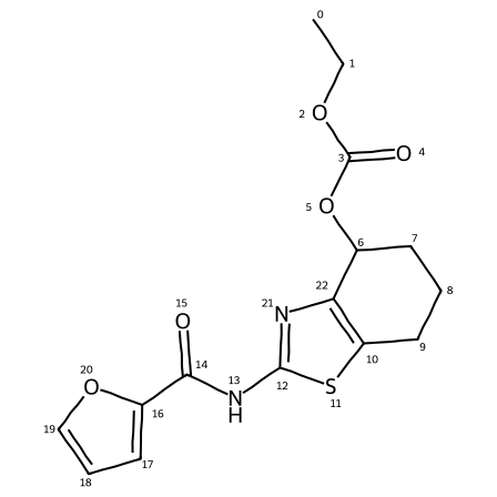 CCOC(=O)OC1CCCc2sc(NC(=O)c3ccco3)nc21